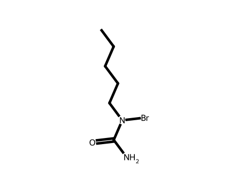 CCCCCN(Br)C(N)=O